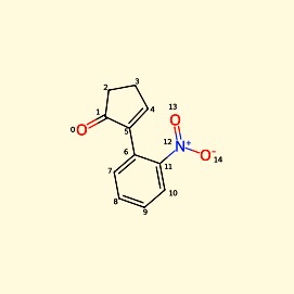 O=C1CCC=C1c1ccccc1[N+](=O)[O-]